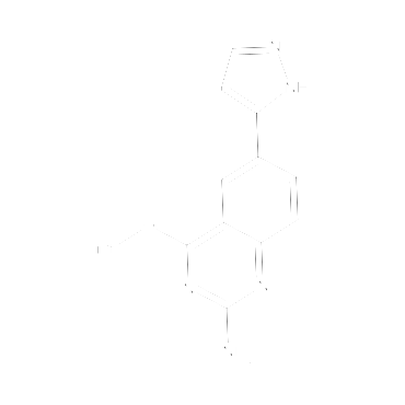 CC(C)Oc1nc(N)nc2ccc(-c3ccn[nH]3)cc12